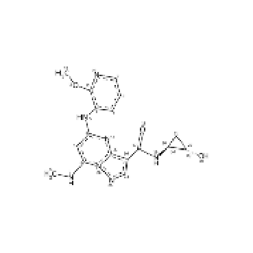 CNc1cc(Nc2cccnc2OC)nc2c(C(=O)N[C@H]3C[C@@H]3O)cnn12